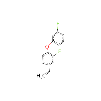 C=Cc1ccc(Oc2cccc(F)c2)c(F)c1